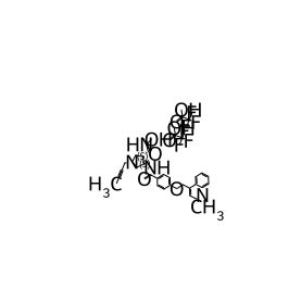 CC#CCN1C[C@H](C(=O)NO)[C@H](NC(=O)c2ccc(OCc3cc(C)nc4ccccc34)cc2)C1.O=C(O)C(F)(F)F.O=C(O)C(F)(F)F